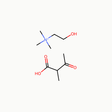 CC(=O)C(C)C(=O)O.C[N+](C)(C)CCO